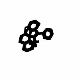 C[Si](C)(C)C1=C(c2ccccc2)c2ccccc2C12C(=O)C=Cc1ccccc12